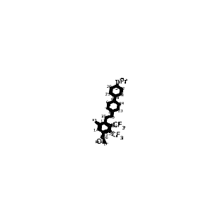 CCCC1CCC(C2CCC(CCc3c(C)cc(C4CO4)c(C(F)(F)F)c3C(F)(F)F)CC2)CC1